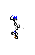 CC1C=CC(c2nc3ccccc3c3c2CCc2c-3sc3ccccc23)=CC1C1=CC=C(c2cc3c(c4ncccc24)N=CCC3)CC1